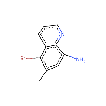 Cc1cc(N)c2ncccc2c1Br